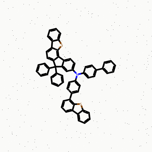 c1ccc(-c2ccc(N(c3ccc(-c4cccc5c4sc4ccccc45)cc3)c3ccc4c(c3)C(c3ccccc3)(c3ccccc3)c3ccc5c(sc6ccccc65)c3-4)cc2)cc1